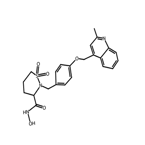 Cc1cc(COc2ccc(CN3C(C(=O)NO)CCCS3(=O)=O)cc2)c2ccccc2n1